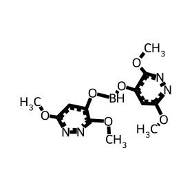 COc1cc(OBOc2cc(OC)nnc2OC)c(OC)nn1